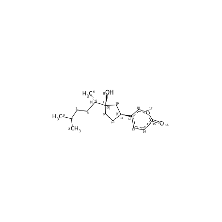 CC(C)CC[C@H](C)[C@@]1(O)CC[C@H](c2ccc(=O)oc2)C1